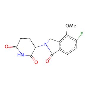 COc1c(F)ccc2c1CN(C1CCC(=O)NC1=O)C2=O